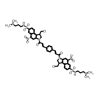 CN(C)CCCNS(=O)(=O)c1ccc2c3c(cc([N+](=O)[O-])c2c1)N(C(=O)/C=C/c1ccc(/C=C/C(=O)N2CC(CCl)c4c2cc([N+](=O)[O-])c2cc(S(=O)(=O)NCCCN(C)C)ccc42)cc1)CC3CCl